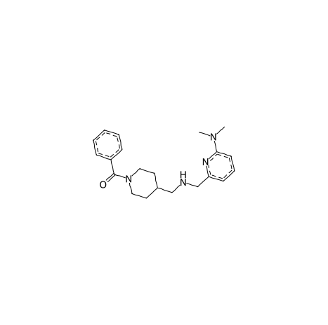 CN(C)c1cccc(CNCC2CCN(C(=O)c3ccccc3)CC2)n1